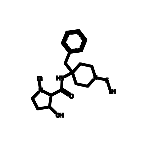 CCN1CCC(O)C1C(=O)NC1(Cc2ccccc2)CCN(SS)CC1